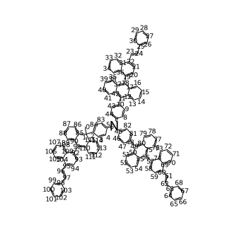 CC1(c2ccc(N(c3ccc(-c4c5ccccc5c(-c5ccc(/C=C/c6ccccc6)c6ccccc56)c5ccccc45)cc3)c3ccc(-c4c5ccccc5c(-c5ccc(/C=C/c6ccccc6)c6ccccc56)c5ccccc45)cc3)cc2)c2ccccc2C(c2ccc(/C=C/c3ccccc3)c3ccccc23)=C2C=CC=CC21